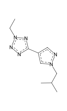 CCn1nnc(-c2cnn(CC(C)C)c2)n1